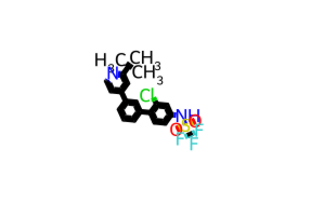 CC(C)(C)c1cc(-c2cccc(-c3ccc(NS(=O)(=O)C(F)(F)F)cc3Cl)c2)ccn1